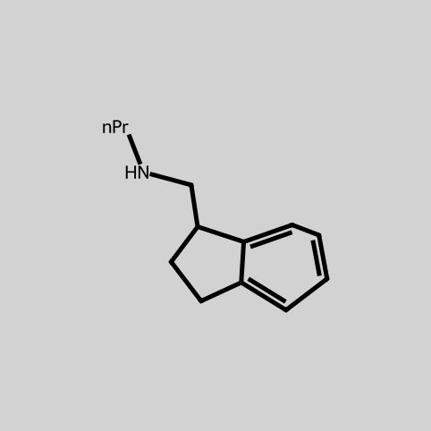 CCCNCC1CCc2ccccc21